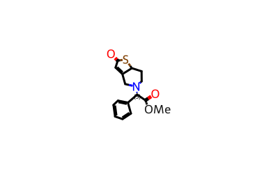 COC(=O)[C@H](c1ccccc1)N1CCC2SC(=O)C=C2C1